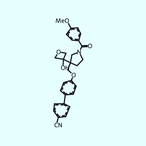 COc1ccc(C(=O)N2CCC(COc3ccc(-c4ccc(C#N)cc4)cc3)(C3(O)COC3)C2)cc1